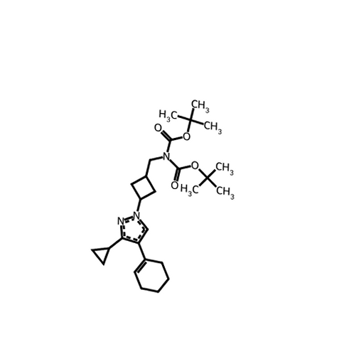 CC(C)(C)OC(=O)N(CC1CC(n2cc(C3=CCCCC3)c(C3CC3)n2)C1)C(=O)OC(C)(C)C